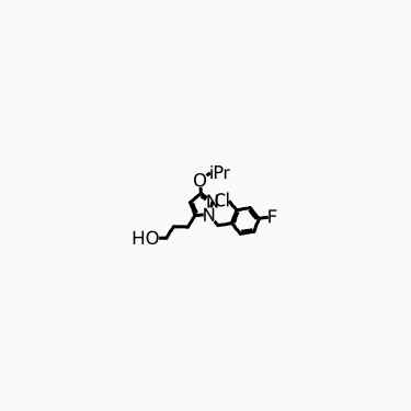 CC(C)Oc1cc(CCCO)n(Cc2ccc(F)cc2Cl)n1